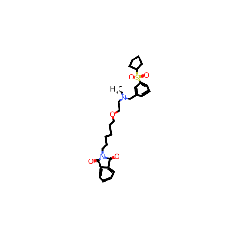 CN(CCOCCCCCCN1C(=O)c2ccccc2C1=O)Cc1cccc(S(=O)(=O)C2CCCC2)c1